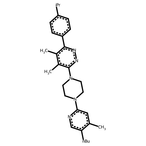 CCCCc1cnc(N2CCN(c3nnc(-c4ccc(C(C)C)cc4)c(C)c3C)CC2)cc1C